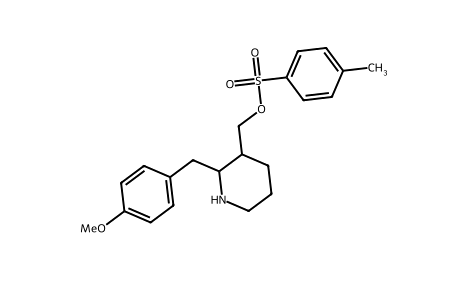 COc1ccc(CC2NCCCC2COS(=O)(=O)c2ccc(C)cc2)cc1